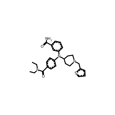 CCN(CC)C(=O)c1ccc(N(c2cccc(C(N)=O)c2)C2CCN(Cc3cccs3)CC2)cc1